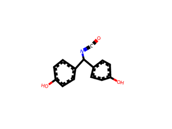 O=C=NC(c1ccc(O)cc1)c1ccc(O)cc1